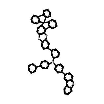 c1ccc(-c2ccc(N(c3ccc(-c4ccc5oc6ccccc6c5c4)cc3)c3cccc(-c4ccc5c(c4)Oc4c(ccc6c4-c4ccccc4C64c6ccccc6-c6ccccc64)O5)c3)cc2)cc1